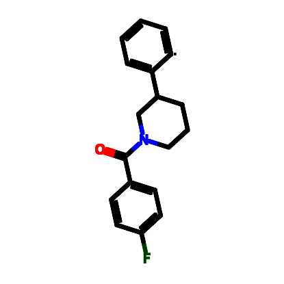 O=C(c1ccc(F)cc1)N1CCCC(c2[c]cccc2)C1